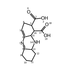 O=C(O)C1CC=C2N=C3CCCCC3NC2C1C(=O)O